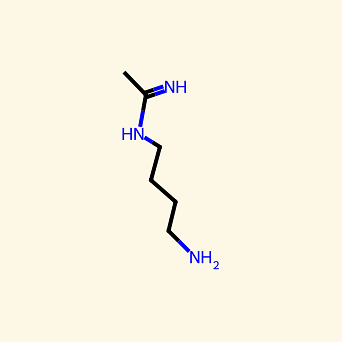 CC(=N)NCCCCN